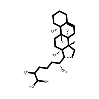 CC(CCC[C@@H](C)[C@H]1CC[C@H]2[C@@H]3CC=C4CCCC[C@]4(C)[C@H]3CC[C@]12C)C(O)O